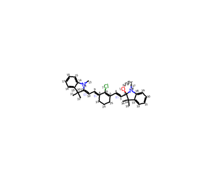 CCCOC1(/C=C/C2=C(Cl)C(=C/C=C3\N(C)c4ccccc4C3(C)C)/CCC2)N(C)c2ccccc2C1(C)C